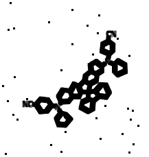 N#Cc1ccc(N(c2ccccc2)c2ccc3cc4c(cc3c2)C2(c3ccccc3-c3ccccc32)c2cc3cc(N(c5ccccc5)c5ccc(C#N)cc5)ccc3cc2-4)cc1